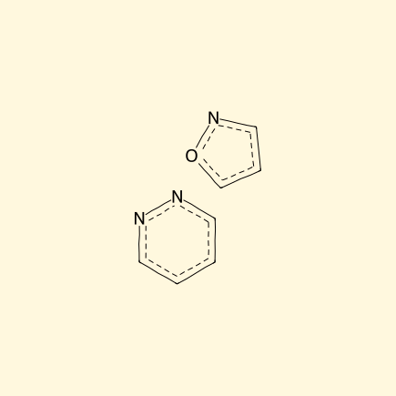 c1ccnnc1.c1cnoc1